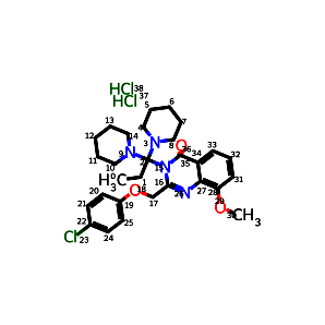 CCC(N1CCCCC1)(N1CCCCC1)n1c(COc2ccc(Cl)cc2)nc2c(OC)cccc2c1=O.Cl.Cl